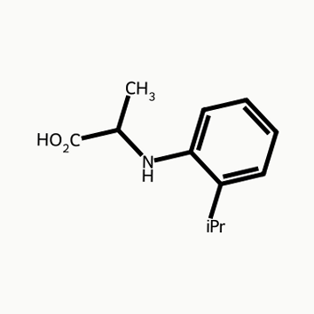 CC(Nc1ccccc1C(C)C)C(=O)O